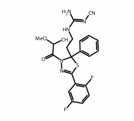 COC(C)C(=O)N1N=C(c2cc(F)ccc2F)SC1(CCNC(N)=NC#N)c1ccccc1